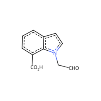 O=CCn1ccc2cccc(C(=O)O)c21